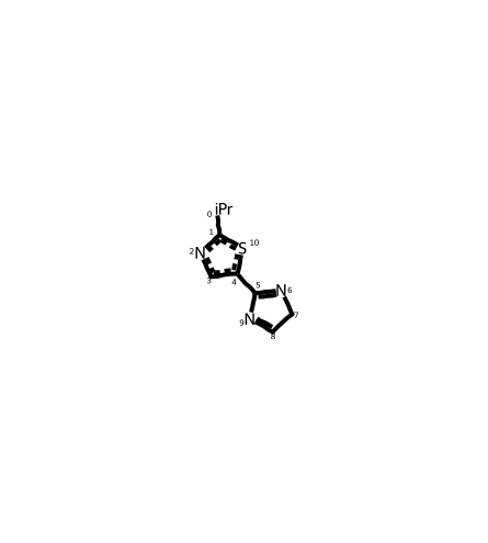 CC(C)c1ncc(C2=NCC=N2)s1